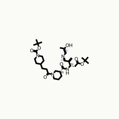 C=C(/C=N\C=C(/C)O)[C@H](CC(=O)OC(C)(C)C)NC(=O)[C@@H]1CCCN(C(=O)CCC2CCN(C(=O)OC(C)(C)C)CC2)C1